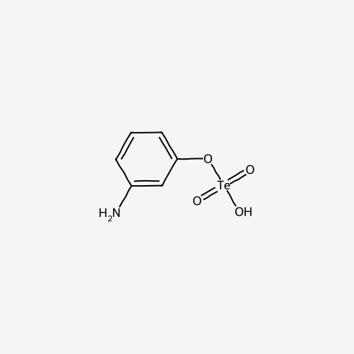 Nc1cccc(O[Te](=O)(=O)O)c1